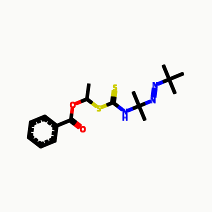 CC(OC(=O)c1ccccc1)SC(=S)NC(C)(C)N=NC(C)(C)C